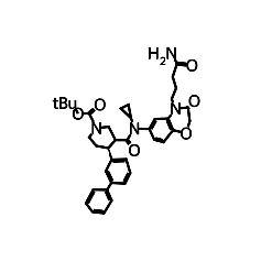 CC(C)(C)OC(=O)N1CC[C@H](c2cccc(-c3ccccc3)c2)C(C(=O)N(c2ccc3c(c2)N(CCCC(N)=O)C(=O)CO3)C2CC2)C1